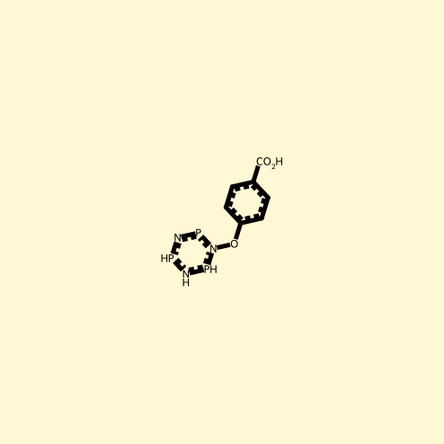 O=C(O)c1ccc(On2pn[pH][nH][pH]2)cc1